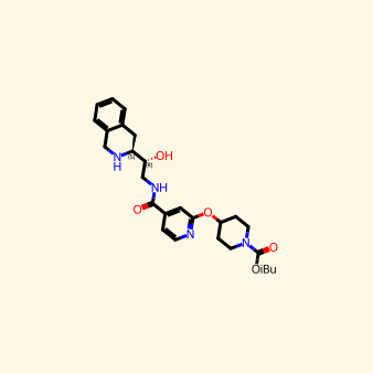 CC(C)COC(=O)N1CCC(Oc2cc(C(=O)NC[C@@H](O)[C@@H]3Cc4ccccc4CN3)ccn2)CC1